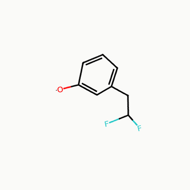 [O]c1cccc(CC(F)F)c1